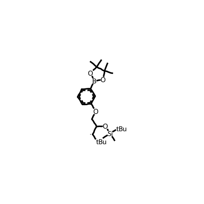 CC(C)(C)[CH]C(COc1cccc(B2OC(C)(C)C(C)(C)O2)c1)O[Si](C)(C)C(C)(C)C